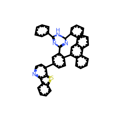 c1ccc(C2=NC(c3cc(-c4ccnc5c4sc4ccccc45)ccc3-c3cc4ccccc4c4ccccc34)=NC(c3ccccc3)N2)cc1